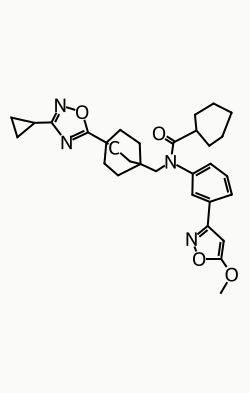 COc1cc(-c2cccc(N(CC34CCC(c5nc(C6CC6)no5)(CC3)CC4)C(=O)C3CCCCC3)c2)no1